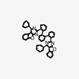 c1ccc(-c2nc(-c3ccccc3-c3ccccc3-c3ccccc3-c3nc(-c4ccccc4)c4c(n3)oc3ccccc34)nc3oc4ccccc4c23)cc1